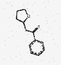 O=C(SC1CCCO1)c1ccccc1